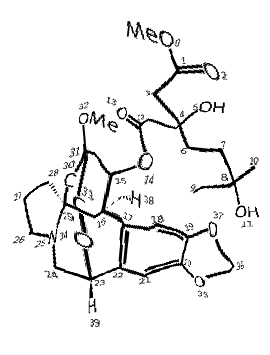 COC(=O)CC(O)(CCC(C)(C)O)C(=O)OC1[C@H]2c3cc4c(cc3[C@@H]3CN5CCC[C@]25CC1(OC)CO3)OCO4